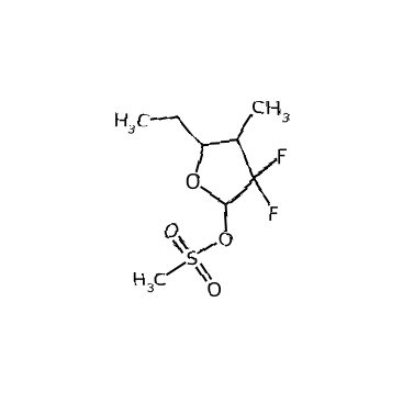 CCC1OC(OS(C)(=O)=O)C(F)(F)C1C